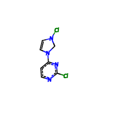 Clc1nccc(N2C=CN(Cl)C2)n1